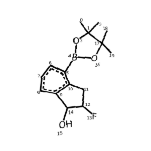 CC1(C)OB(c2cccc3c2CC(F)C3O)OC1(C)C